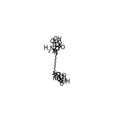 Cc1c(N)c2c3c(ccc2n1CCCCCCCCCCCCn1c(C)c(N)c2c(OC(C(=O)O)C(C)C)c4c(=O)c(=O)c4cc21)C(=O)C(=O)C(C(=O)O)(C(C)C)O3